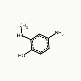 CBc1cc(N)ccc1O